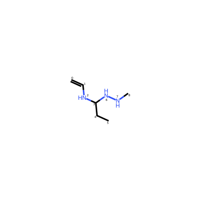 C=CNC(CC)NNC